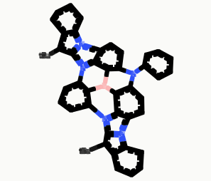 CC(C)(C)c1c2ccccc2n2c3ccc4c5c3n(c12)-c1cccc2c1B5c1c(ccc3c1n-2c1c(C(C)(C)C)c2ccccc2n31)N4c1ccccc1